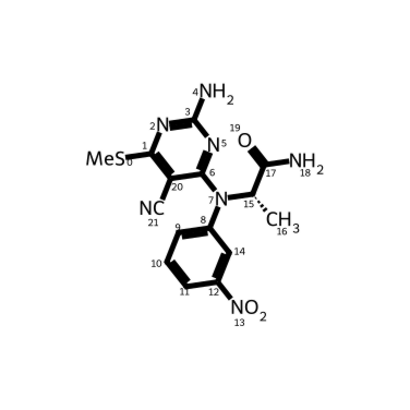 CSc1nc(N)nc(N(c2cccc([N+](=O)[O-])c2)[C@@H](C)C(N)=O)c1C#N